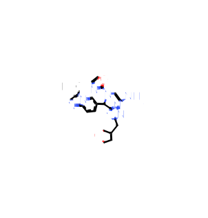 Cc1cnc2ccc(C3c4nc(CC5CCOC5)nn4C(N)=CN3c3ncco3)cn12